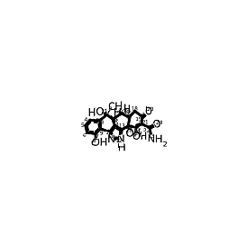 C[C@@]1(O)c2cccc(O)c2-c2n[nH]c3c2[C@@H]1C[C@H]1CC(=O)C(C(N)=O)=C(O)[C@@]31O